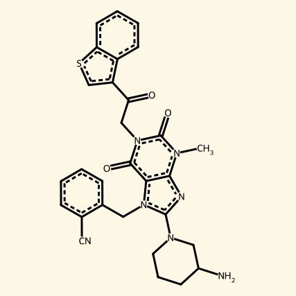 Cn1c(=O)n(CC(=O)c2csc3ccccc23)c(=O)c2c1nc(N1CCCC(N)C1)n2Cc1ccccc1C#N